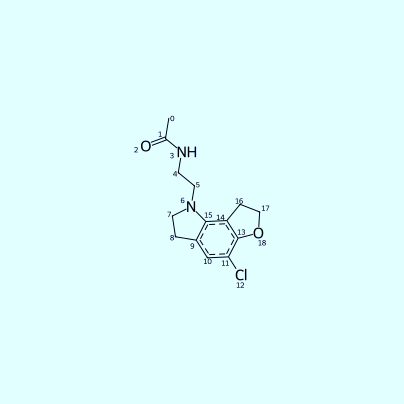 CC(=O)NCCN1CCc2cc(Cl)c3c(c21)CCO3